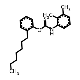 CCCCCCCc1ccccc1OC(=S)Nc1cccc(C)c1C